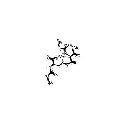 C=C(SSC[C@@H](NC(=O)OC(C)(C)C)C(=O)OC)[C@@H](NC(=O)OC(C)(C)C)C(=O)OC